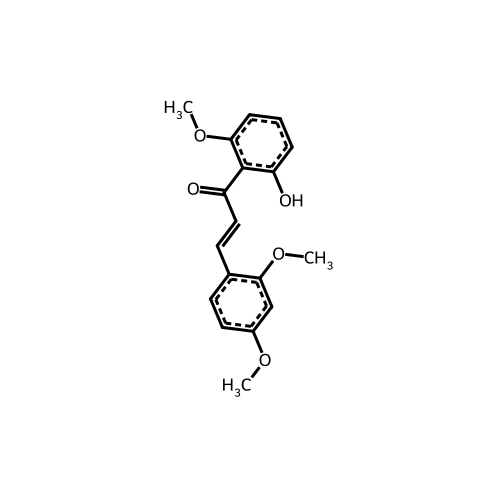 COc1ccc(/C=C/C(=O)c2c(O)cccc2OC)c(OC)c1